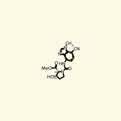 COC(=O)[C@@H]1[C@H](O)CCN1C(=O)Nc1ccc(C#N)c2c1ncn2C